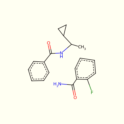 CC(NC(=O)c1ccccc1)C1CC1.NC(=O)c1ccccc1F